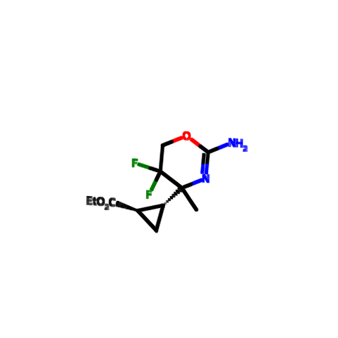 CCOC(=O)[C@@H]1C[C@H]1C1(C)N=C(N)OCC1(F)F